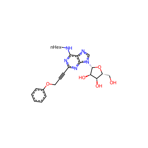 CCCCCCNc1nc(C#CCOc2ccccc2)nc2c1ncn2[C@@H]1O[C@H](CO)[C@@H](O)[C@H]1O